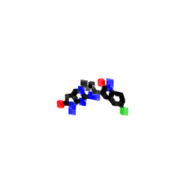 CC(Nc1ncc2c(n1)NC(=O)C2)c1cc2cc(Cl)ccc2[nH]c1=O